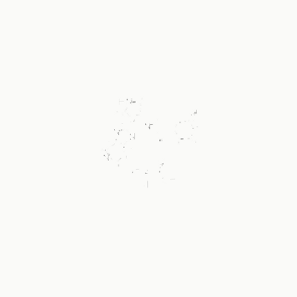 O=C(O)C(F)(F)F.O=c1[nH]ccc(NCC(O)c2cccc(Br)c2)c1-c1nc2cnccc2[nH]1